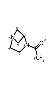 O=C(N1CCN2CC1C2)C(F)(F)F